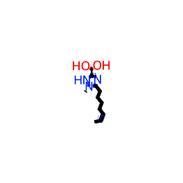 C/C=C\CCCCC1=N[C@H](C(O)O)NN1C